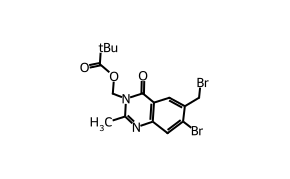 Cc1nc2cc(Br)c(CBr)cc2c(=O)n1COC(=O)C(C)(C)C